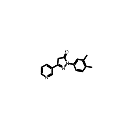 Cc1ccc(N2N=C(c3cccnc3)CC2=O)cc1C